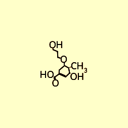 C[C@@H]1[C@@H](O)C=C(C(=O)O)C[C@H]1OCCCO